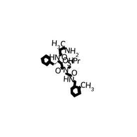 Cc1ccccc1CNC(=O)CN(CSC(C)C)C(=O)[C@@H](O)[C@H](Cc1ccccc1)NC(=O)CC(C)N